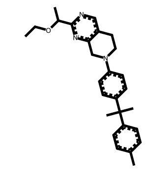 CCOC(C)c1ncc2c(n1)CN(c1ccc(C(C)(C)c3ccc(C)cc3)cc1)CC2